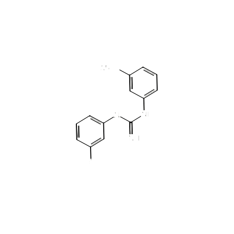 COc1cccc(NC(=N)Nc2cccc(C(F)(F)F)c2)c1